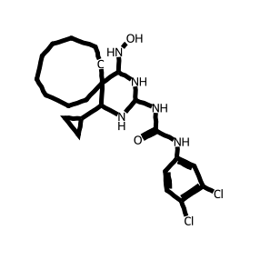 O=C(Nc1ccc(Cl)c(Cl)c1)NC1NC(NO)C2(CCCCCCCCC2)C(C2CC2)N1